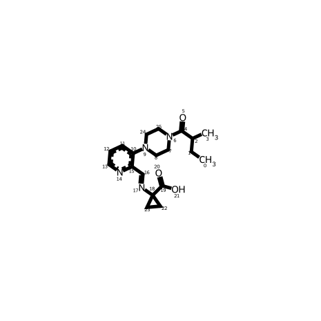 CCC(C)C(=O)N1CCN(c2cccnc2C=NC2(C(=O)O)CC2)CC1